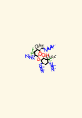 CC(=O)O[C@@H]1[C@@H](CN=[N+]=[N-])O[C@H](O[C@@H]2C(N=[N+]=[N-])CC(N=[N+]=[N-])[C@](F)(OC(C)=O)[C@H]2O)C(N=[N+]=[N-])C1(F)F